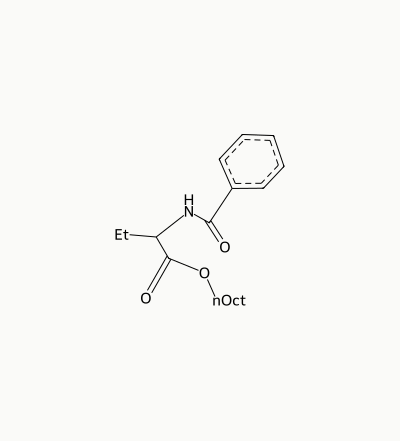 CCCCCCCCOC(=O)C(CC)NC(=O)c1ccccc1